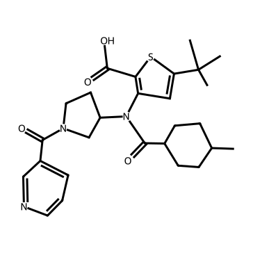 CC1CCC(C(=O)N(c2cc(C(C)(C)C)sc2C(=O)O)C2CCN(C(=O)c3cccnc3)C2)CC1